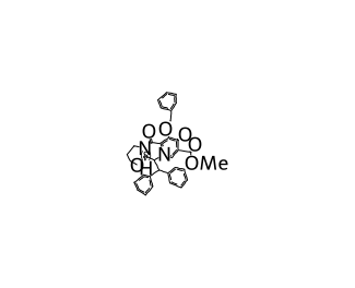 COC(=O)c1cn2c(c(OCc3ccccc3)c1=O)C(=O)N1CCCO[C@H]1C2C(c1ccccc1)c1ccccc1